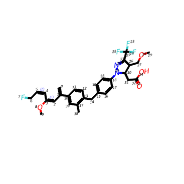 C=C(/C=C(\C=C/CF)OC)c1ccc(Cc2ccc(N3N=C(C(F)(F)F)C(COC)C3CC(=O)O)cc2)c(C)c1